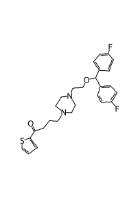 O=C(CCCN1CCN(CCOC(c2ccc(F)cc2)c2ccc(F)cc2)CC1)c1cccs1